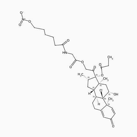 CCC(=O)O[C@@]1(C(=O)COC(=O)CNC(=O)CCCCCO[N+](=O)[O-])[C@@H](C)C[C@H]2[C@@H]3CCC4=CC(=O)C=C[C@]4(C)[C@@]3(Cl)[C@@H](O)C[C@@]21C